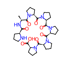 C[C@H](NC(=O)[C@@H]1CCCN1)C(=O)N1CCC[C@H]1C(=O)N1CCC[C@H]1C(=O)N1CCC[C@H]1C(=O)N1CCC[C@H]1C(=O)N1CCC[C@H]1C(=O)O